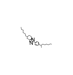 CCCCCCC1CCc2nc(-c3ccc(C(C)CCCCCC)cc3)ncc2C1